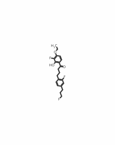 CCOc1ccc(C(=O)CCCc2ccc(CCCF)cc2F)c(O)c1F